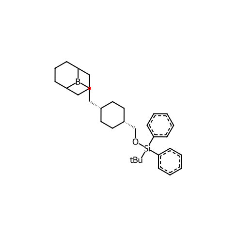 CC(C)(C)[Si](OC[C@H]1CC[C@@H](CCB2C3CCCC2CCC3)CC1)(c1ccccc1)c1ccccc1